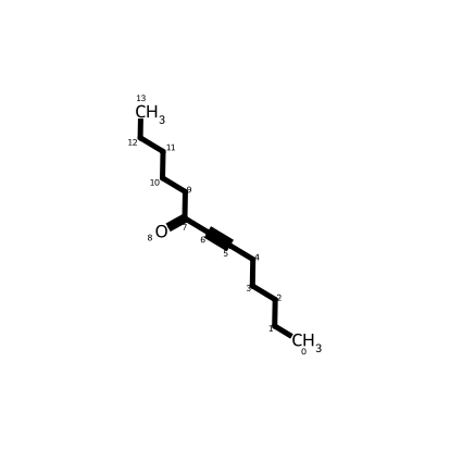 CCCCCC#CC(=O)CCCCC